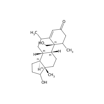 CC1C[C@@H]2[C@@H](CC[C@]3(C)C(O)CC[C@@H]23)[C@]2(CO)C1=CC(=O)CC2C